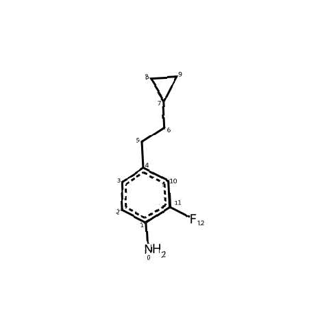 Nc1ccc(CCC2CC2)cc1F